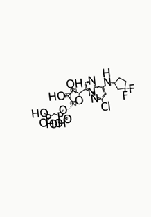 O=P(O)(O)CP(=O)(O)OC[C@H]1OC(c2cnc3c(NC4CCC(F)(F)C4)cc(Cl)nn23)[C@H](O)[C@@H]1O